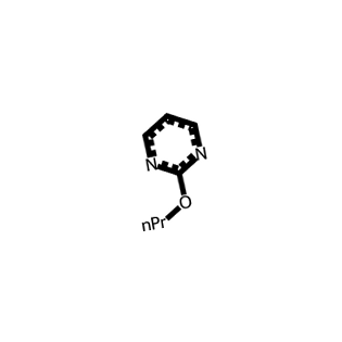 C[CH]COc1ncccn1